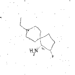 CCN1CCC2(CCC(F)[C@@H]2N)CC1